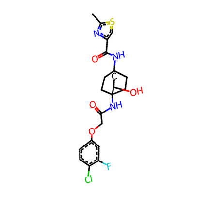 Cc1nc(C(=O)NC23CCC(NC(=O)COc4ccc(Cl)c(F)c4)(CC2)C(O)C3)cs1